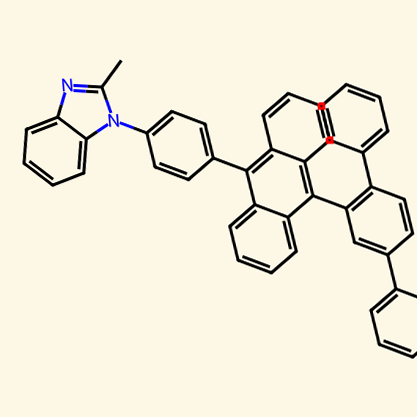 Cc1nc2ccccc2n1-c1ccc(-c2c3ccccc3c(-c3cc(-c4ccccc4)ccc3-c3ccccc3)c3ccccc23)cc1